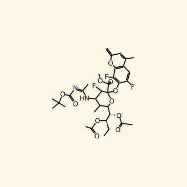 C=C1C=C(C)c2cc(F)c(OC3(C(=O)OC)OC([C@H](OC(C)=O)[C@@H](CC)OC(C)=O)C(C)C(N/C(C)=N\C(=O)OC(C)(C)C)C3F)c(F)c2O1